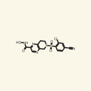 N#Cc1ccc(S(=O)(=O)N2CCc3nc(C(=O)NO)cnc3C2)c(Cl)c1